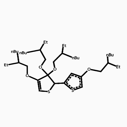 CCCCC(CC)COC1=CSC(c2cc(OCC(CC)CCCC)cs2)C1(OCC(CC)CCCC)OCC(CC)CCCC